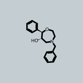 O[C@H]1CN(Cc2ccccc2)CCO[C@@H]1c1ccccc1